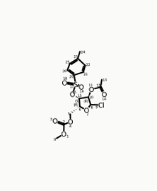 COC(=O)OC[C@H]1OC(Cl)[C@H](OC(C)=O)[C@H]1OS(=O)(=O)c1ccc(C)cc1